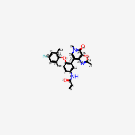 C=CC(=O)Nc1ccc(Oc2c(C)cc(F)cc2C)c(-c2cn(C)c(=O)c3oc(C)nc23)c1